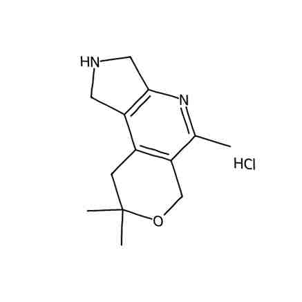 Cc1nc2c(c3c1COC(C)(C)C3)CNC2.Cl